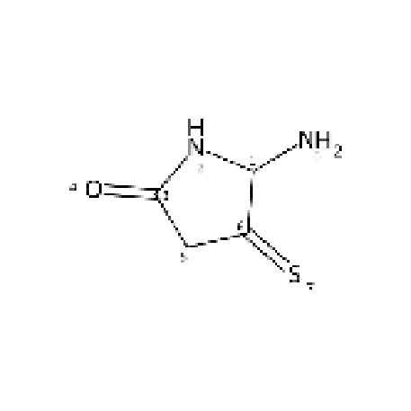 NC1NC(=O)CC1=S